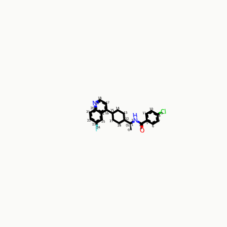 C[C@H](NC(=O)c1ccc(Cl)cc1)C1CCC(c2ccnc3ccc(F)cc23)CC1